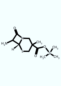 CC1(C(=O)O[Si](C)(C)C)CS[C@@H]2C(N)C(=O)N2C1